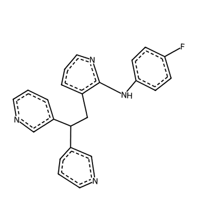 Fc1ccc(Nc2ncccc2CC(c2cccnc2)c2cccnc2)cc1